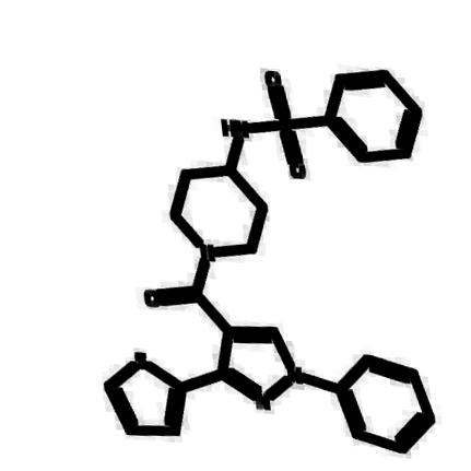 O=C(c1cn(-c2ccccc2)nc1-c1cccs1)N1CCC(NS(=O)(=O)c2ccccc2)CC1